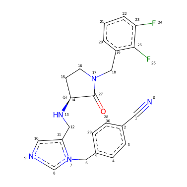 N#Cc1ccc(Cn2cncc2CN[C@H]2CCN(Cc3cccc(F)c3F)C2=O)cc1